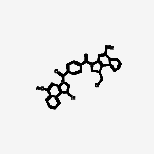 CCC1CN(C(=O)c2ccc(C(=O)N3CC(CCl)c4c3cc(OC(C)=O)c3ccccc43)cc2)c2cc(OC(C)=O)c3ccccc3c21